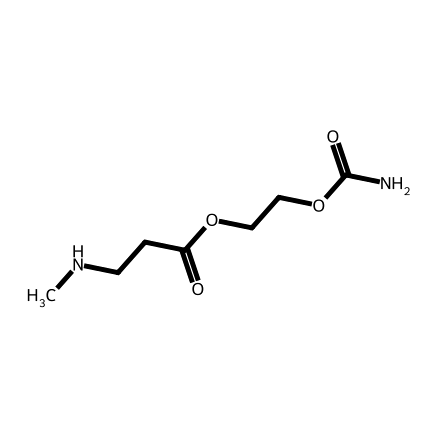 CNCCC(=O)OCCOC(N)=O